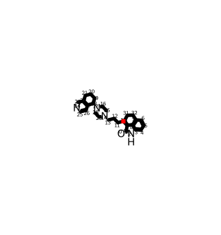 O=C1Nc2cccc3c2C1(CCCCN1CCN(C2CCCc4cnccc42)CC1)CCC3